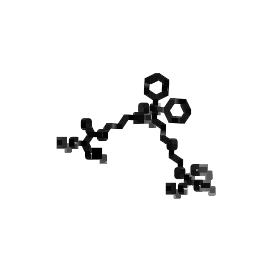 C=C(C)C(=O)OCCC[SiH2]O[Si](CCCOCCO[Si](C)(C)C)(C1C=CC=CC1)C1C=CC=CC1